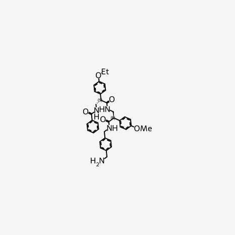 CCOc1ccc([C@@H](CNC(=O)c2ccccc2)C(=O)NC[C@H](C(=O)NCc2ccc(CN)cc2)c2ccc(OC)cc2)cc1